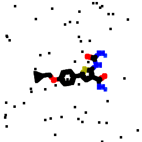 NC(=O)Nc1sc(-c2ccc(OCC3CC3)cc2)cc1C(N)=O